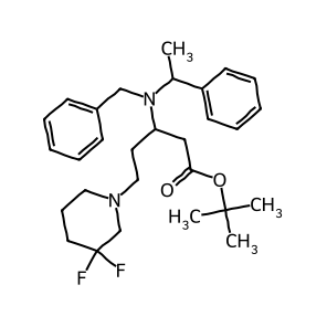 CC(c1ccccc1)N(Cc1ccccc1)C(CCN1CCCC(F)(F)C1)CC(=O)OC(C)(C)C